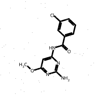 COc1cc(NC(=O)c2cccc(Cl)c2)nc(N)n1